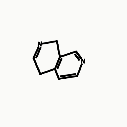 C1=NCc2cnccc2C1